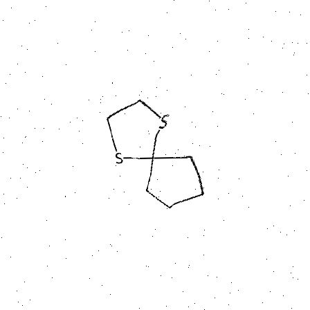 C1CCC2(C1)SCCS2